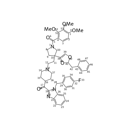 COc1ccc(C(=O)N2CCC(CCN3CCC(C(=O)c4nc5ccccc5n4Cc4ccc(F)cc4)CC3)(C3=COC(Cc4ccccc4)O3)C2)c(OC)c1OC